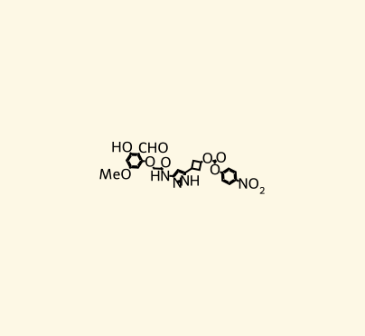 COc1cc(O)c(C=O)c(OCC(=O)Nc2cc(C3CC(OC(=O)Oc4ccc([N+](=O)[O-])cc4)C3)[nH]n2)c1